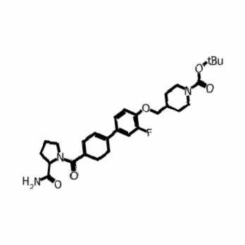 CC(C)(C)OC(=O)N1CCC(COc2ccc(C3=CCC(C(=O)N4CCCC4C(N)=O)CC3)cc2F)CC1